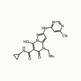 CC(C)(C)Cn1c(=O)c(C(=O)NC2CC2)c(O)n2nc(Nc3cc(C#N)ncn3)cc12